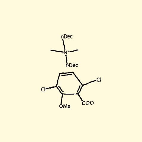 CCCCCCCCCC[N+](C)(C)CCCCCCCCCC.COc1c(Cl)ccc(Cl)c1C(=O)[O-]